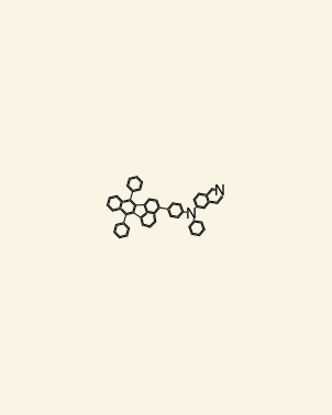 c1ccc(-c2c3c(c(-c4ccccc4)c4ccccc24)-c2ccc(-c4ccc(N(c5ccccc5)c5ccc6cnccc6c5)cc4)c4cccc-3c24)cc1